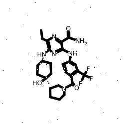 CCc1nc(C(N)=O)c(Nc2ccc(C(=O)N3CCCCC3)c(C(F)(F)F)c2)nc1N[C@H]1CC[C@](C)(O)CC1